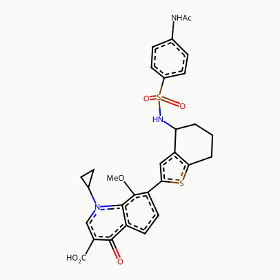 COc1c(-c2cc3c(s2)CCCC3NS(=O)(=O)c2ccc(NC(C)=O)cc2)ccc2c(=O)c(C(=O)O)cn(C3CC3)c12